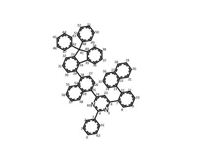 c1ccc(-c2nc(-c3ccccc3-c3cccc4ccccc34)cc(-c3ccc(-c4cccc5c4-c4ccccc4C5(c4ccccc4)c4ccccc4)c4ccccc34)n2)cc1